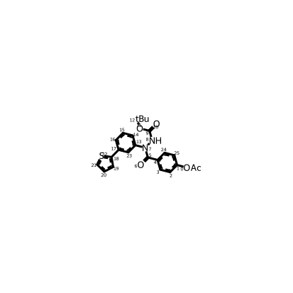 CC(=O)Oc1ccc(C(=O)N(NC(=O)OC(C)(C)C)c2cccc(-c3cccs3)c2)cc1